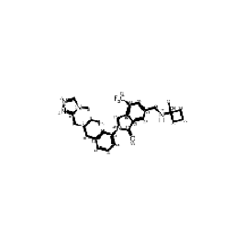 Cn1cnnc1C[C@@H](CF)Cc1cccc(N2Cc3c(cc(CNC4(C)CCC4)cc3C(F)(F)F)C2=O)c1